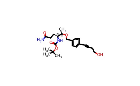 C[C@@H](OCc1ccc(C#CCCO)cc1)[C@H](CCC(N)=O)NC(=O)OC(C)(C)C